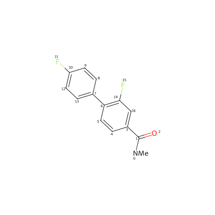 CNC(=O)c1ccc(-c2ccc(F)cc2)c(F)c1